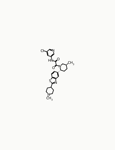 C[C@H]1CC[C@H](c2ccc3sc(C4CCN(C)CC4)nc3c2)N(C(=O)C(=O)Nc2cncc(Cl)c2)C1